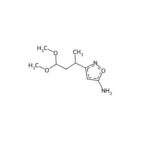 COC(CC(C)c1cc(N)on1)OC